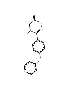 CC1CC(=O)NN=C1c1ccc(Oc2ccncc2)cc1